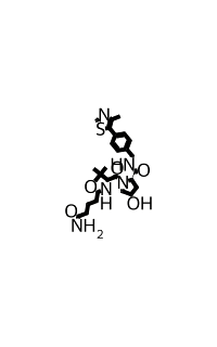 Cc1ncsc1-c1ccc(CNC(=O)[C@@H]2C[C@@H](O)CN2C(=O)[C@@H](NC(=O)CCCC(N)=O)C(C)(C)C)cc1